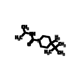 CC(C)NC(=O)N1CCC(C)(C(C)(C)C)CC1